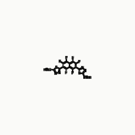 CCCCCCCCCc1nnc(-c2c(F)c(F)c3c(F)c(F)c(-c4nnc(CCCCCCCC)s4)c(F)c3c2F)s1